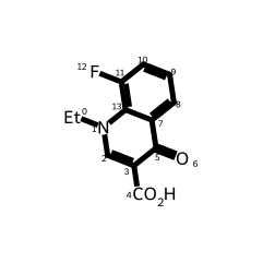 CCn1cc(C(=O)O)c(=O)c2cccc(F)c21